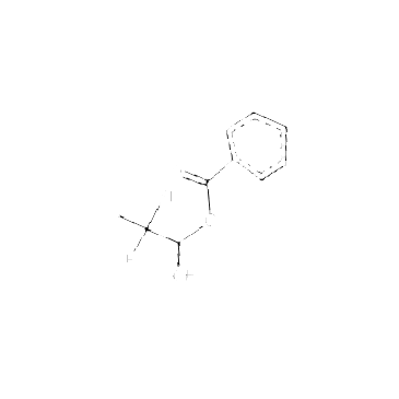 O=C(OC(C(F)(F)F)C(F)(F)S)c1ccccc1